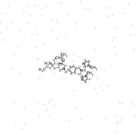 CCCC(N)(CCC)CCCN(CC(=O)OCC)Cc1ccc(CN(Cc2nccn2C)Cc2nccn2C)cc1